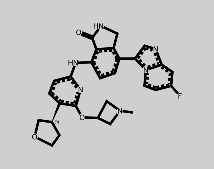 CN1CC(Oc2nc(Nc3ccc(-c4cnc5cc(F)ccn45)c4c3C(=O)NC4)ccc2[C@H]2CCOC2)C1